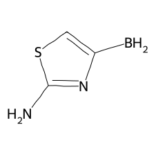 Bc1csc(N)n1